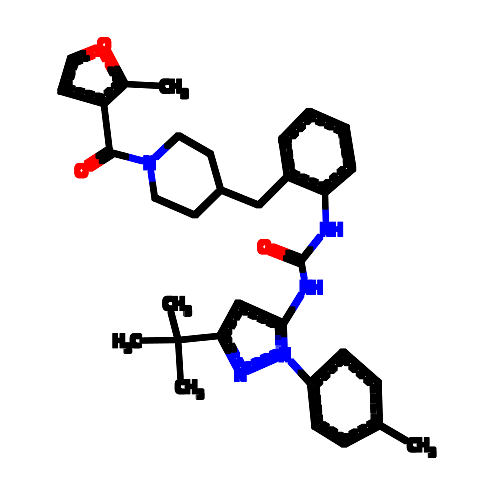 Cc1ccc(-n2nc(C(C)(C)C)cc2NC(=O)Nc2ccccc2CC2CCN(C(=O)c3ccoc3C)CC2)cc1